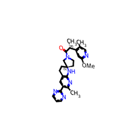 COc1cc([C@@H](C)C(=O)N2CC[C@@]3(CCc4cc(-c5ncccn5)c(C)nc4N3)C2)c(C)cn1